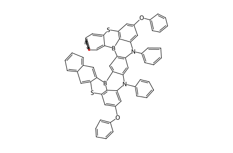 c1ccc(Oc2cc3c4c(c2)N(c2ccccc2)c2cc5c(cc2B4c2cc4ccccc4cc2S3)B2c3cc4ccccc4cc3Sc3cc(Oc4ccccc4)cc(c32)N5c2ccccc2)cc1